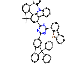 CC1(C)c2cccc3c2-c2c1cc(-c1nc(-c4ccc5c(c4)C(c4ccccc4)(c4ccccc4)c4ccccc4-5)nc(-c4cccc5c4sc4ccccc45)n1)c1c4ccccc4n(c21)-c1ccccc1-3